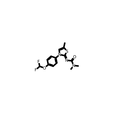 Cc1cn(-c2ccc(OC(F)F)cc2)c(=NC(=O)N(C)C)s1